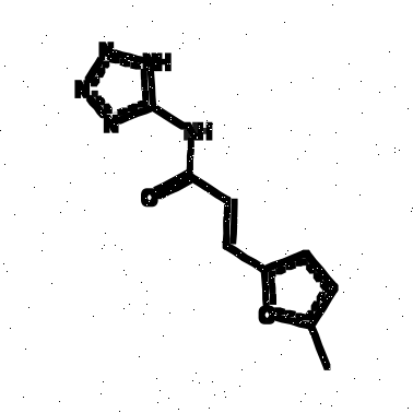 Cc1ccc(C=CC(=O)Nc2nnn[nH]2)o1